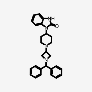 O=c1[nH]c2ccccc2n1C1CCN(C2CN(C(c3ccccc3)c3ccccc3)C2)CC1